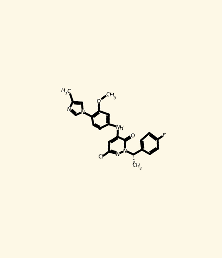 COc1cc(Nc2cc(Cl)nn([C@@H](C)c3ccc(F)cc3)c2=O)ccc1-n1cnc(C)c1